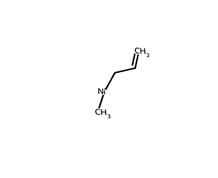 C=C[CH2][Ni][CH3]